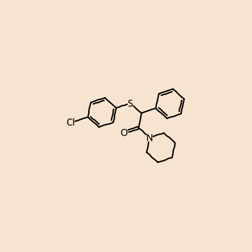 O=C(C(Sc1ccc(Cl)cc1)c1ccccc1)N1CCCCC1